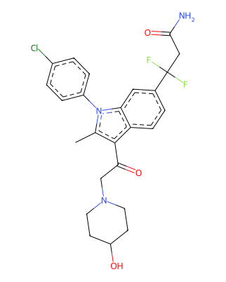 Cc1c(C(=O)CN2CCC(O)CC2)c2ccc(C(F)(F)CC(N)=O)cc2n1-c1ccc(Cl)cc1